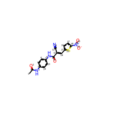 CC(=O)Nc1ccc(NC(=O)/C(C#N)=C/c2ccc([N+](=O)[O-])s2)cc1